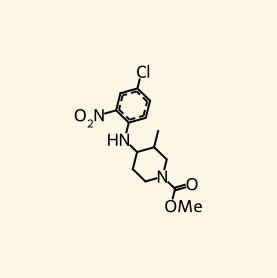 COC(=O)N1CCC(Nc2ccc(Cl)cc2[N+](=O)[O-])C(C)C1